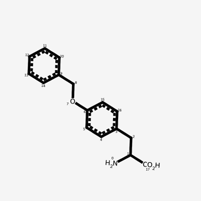 NC(Cc1ccc(OCc2ccccc2)cc1)C(=O)O